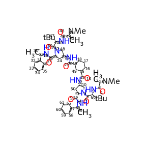 CN[C@@H](C)C(=O)N[C@H](C(=O)N1C[C@@H](NC(=O)C2CCCC(C(=O)N[C@H]3C[C@@H](C(=O)N[C@H](C)c4ccccc4)N(C(=O)[C@@H](NC(=O)[C@H](C)NC)C(C)(C)C)C3)C2)C[C@H]1C(=O)N[C@H](C)c1ccccc1)C(C)(C)C